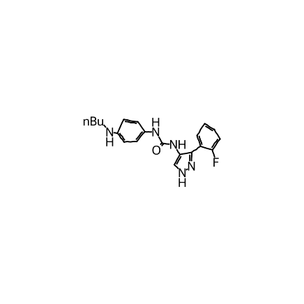 CCCCNc1ccc(NC(=O)Nc2c[nH]nc2-c2ccccc2F)cc1